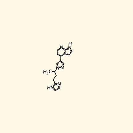 CC(CCc1ncc[nH]1)n1cc(-c2ccnc3[nH]ccc23)cn1